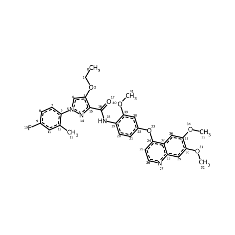 CCOc1cn(-c2ccc(F)cc2C)nc1C(=O)Nc1ccc(Oc2ccnc3cc(OC)c(OC)cc23)cc1OC